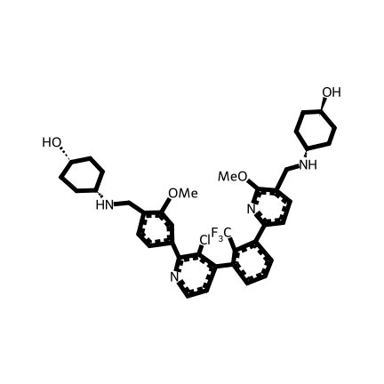 COc1cc(-c2nccc(-c3cccc(-c4ccc(CN[C@H]5CC[C@H](O)CC5)c(OC)n4)c3C(F)(F)F)c2Cl)ccc1CN[C@H]1CC[C@@H](O)CC1